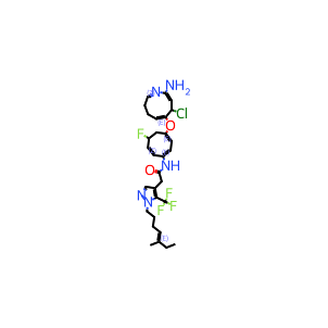 CC/C(C)=C/CCCn1ncc(CC(=O)NC2=C/C=C(/O/C3=C/CC/C=N\C(N)=CC3Cl)CC(F)/C=C\2)c1C(F)(F)F